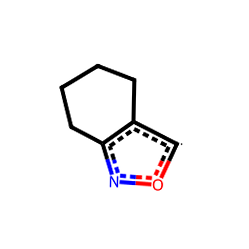 [c]1onc2c1CCCC2